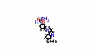 COc1ccc2c(c1)ncc1ccn(Cc3ccc(NS(N)(=O)=O)cc3)c12